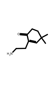 CC1(C)C=C(CCN)C(=O)CC1